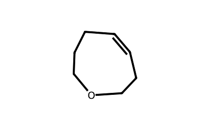 C1=CCCOCCC1